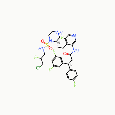 O=C(C[C@@H](c1ccc(F)cc1)c1cc(F)cc(F)c1)Nc1cncc(F)c1CC[C@H]1CNCCN1S(=O)(=O)NCC(F)CCl